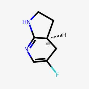 FC1=CN=C2NCC[C@H]2C1